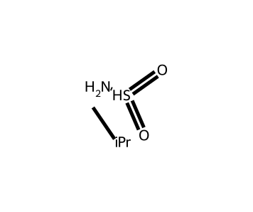 CC(C)C.N[SH](=O)=O